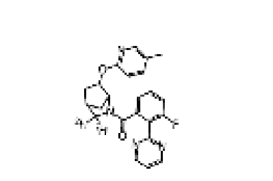 [2H]C1([2H])C2CC(Oc3ccc(C)cn3)C(C2)N1C(=O)c1cccc(F)c1-c1ncccn1